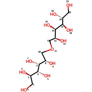 OC[C@@H](O)[C@@H](O)[C@H](O)[C@@H](O)COC[C@H](O)[C@@H](O)[C@H](O)[C@H](O)CO